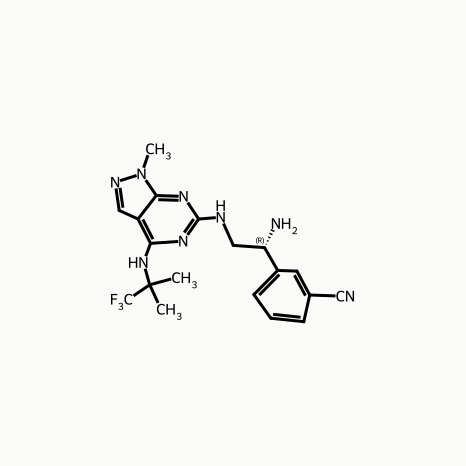 Cn1ncc2c(NC(C)(C)C(F)(F)F)nc(NC[C@H](N)c3cccc(C#N)c3)nc21